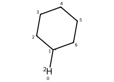 [2H][C]1CCCCC1